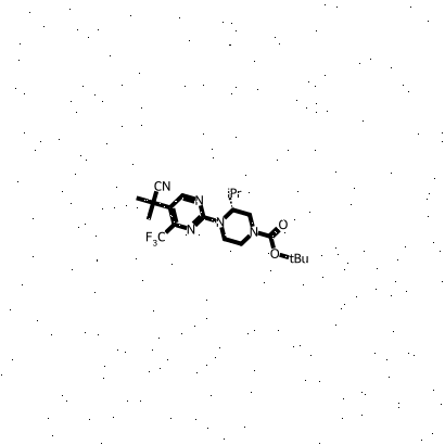 CC(C)[C@@H]1CN(C(=O)OC(C)(C)C)CCN1c1ncc(C(C)(C)C#N)c(C(F)(F)F)n1